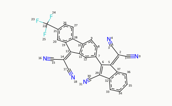 N#CC(C#N)=C1C(c2ccc3c(c2)C(=C(C#N)C#N)c2cc(C(F)(F)F)ccc2-3)=C(C#N)c2ccccc21